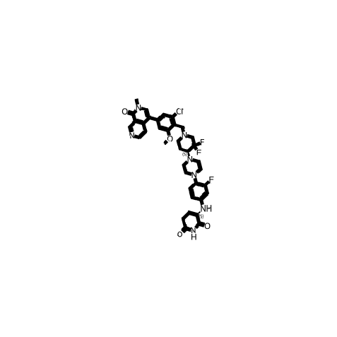 COc1cc(-c2cn(C)c(=O)c3cnccc23)cc(Cl)c1CN1CC[C@H](N2CCN(c3ccc(N[C@H]4CCC(=O)NC4=O)cc3F)CC2)C(F)(F)C1